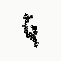 CC(C)(C)OC(=O)N[C@@H](CCCCNC(=O)CN1CC=C(c2cccc3c2CCN(C(=O)[C@H]2CC(c4cccc(Cl)c4F)=NO2)[C@@H]3C(=O)Nc2ccc(C(=O)OC(C)(C)C)cc2)CC1)C(=O)OC(C)(C)C